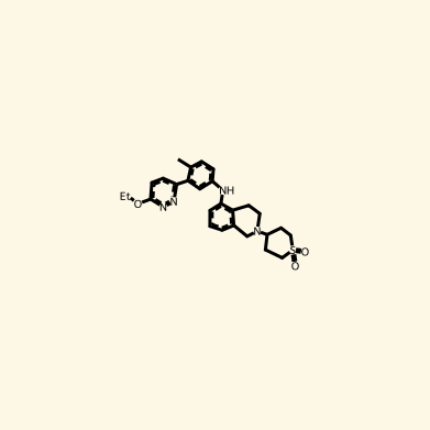 CCOc1ccc(-c2cc(Nc3cccc4c3CCN(C3CCS(=O)(=O)CC3)C4)ccc2C)nn1